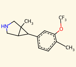 Cc1ccc(C2C3CNCC32C)cc1OC(F)(F)F